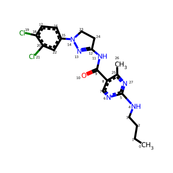 CCCCNc1ncc(C(=O)NC2=NN(c3ccc(Cl)c(Cl)c3)CC2)c(C)n1